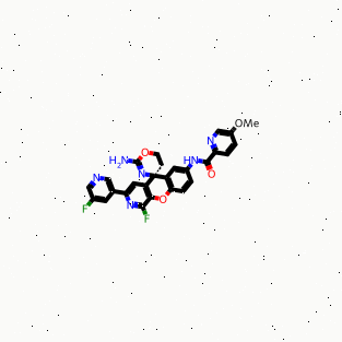 COc1ccc(C(=O)Nc2ccc3c(c2)[C@@]2(CCOC(N)=N2)c2cc(-c4cncc(F)c4)nc(F)c2O3)nc1